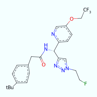 CC(C)(C)c1ccc(CC(=O)N[C@H](c2ccc(OCC(F)(F)F)cn2)c2cn(CCF)nn2)cc1